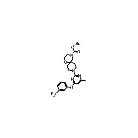 Cc1cc(Oc2cccc(C(F)(F)F)c2)nc(N2CCC3(CC2)CN(C(=O)OC(C)(C)C)CCO3)n1